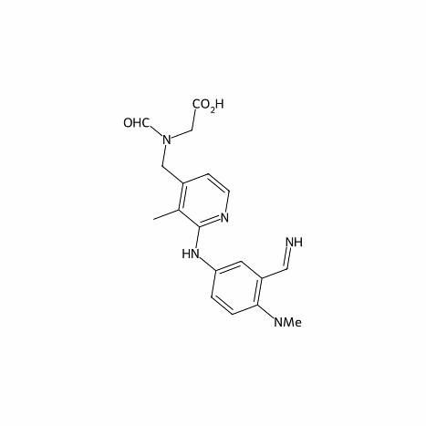 CNc1ccc(Nc2nccc(CN(C=O)CC(=O)O)c2C)cc1C=N